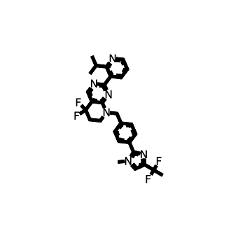 CC(C)c1ncccc1-c1ncc2c(n1)N(Cc1ccc(-c3nc(C(C)(F)F)cn3C)cc1)CCC2(F)F